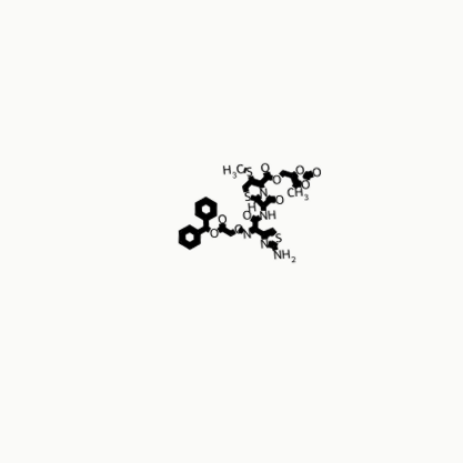 CSC1=C(C(=O)OCc2oc(=O)oc2C)N2C(=O)C(NC(=O)/C(=N\OCC(=O)OC(c3ccccc3)c3ccccc3)c3csc(N)n3)[C@H]2SC1